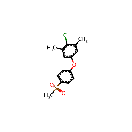 Cc1cc(Oc2ccc(S(C)(=O)=O)cc2)cc(C)c1Cl